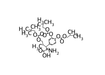 CC(C)COC(=O)Oc1ccc(C(C(C)COC(=O)OCC(C)(C)C)[C@H](N)C(=O)O)cc1OC(=O)OCC(C)C